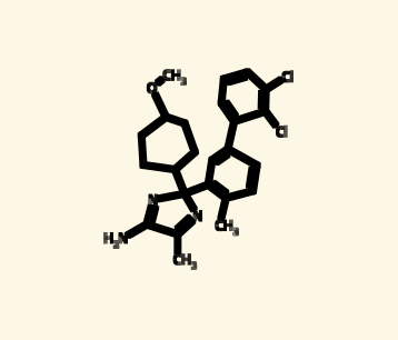 COC1CCC(C2(c3cc(-c4cccc(Cl)c4Cl)ccc3C)N=C(C)C(N)=N2)CC1